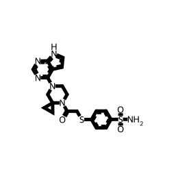 NS(=O)(=O)c1ccc(SCC(=O)N2CCN(c3ncnc4[nH]ccc34)CC23CC3)cc1